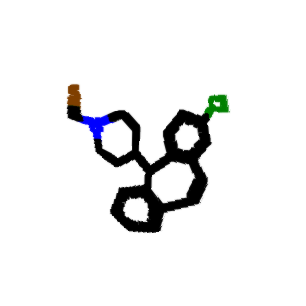 S=CN1CCC(C2c3ccccc3C=Cc3cc(Cl)ccc32)CC1